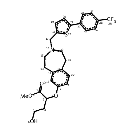 COC(=O)C(CCO)Oc1ccc2c(c1)CCN(Cc1ccc(-c3ccc(C(F)(F)F)cc3)s1)CC2